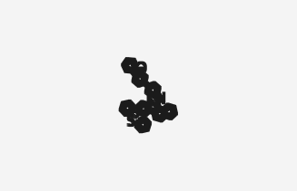 S=P(c1ccccc1)(c1ccccc1)c1ccc2c(c1)c1ccc3ccccc3c1c1nc3ccc(-c4ccc5c(c4)oc4ccccc45)cc3n21